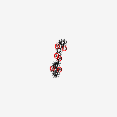 O=C(Cc1ccc2c(c1)C(=O)c1ccccc1CO2)OCCc1ccc2c(c1)C(=O)c1ccccc1CO2